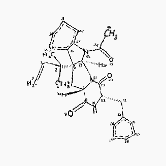 C=CC(C)(C)[C@@]12C[C@H]3C(=O)N[C@@H](Cc4ccccc4)C(=O)N3[C@@H]1N(C(C)=O)c1ccccc12